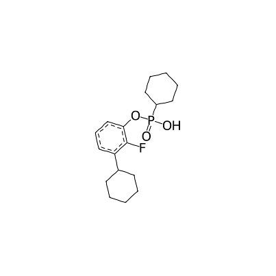 O=P(O)(Oc1cccc(C2CCCCC2)c1F)C1CCCCC1